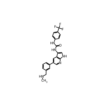 CNCc1cccc(-c2cnc3[nH]cc(NC(=O)Nc4ccc(C(F)(F)F)cc4)c3c2)c1